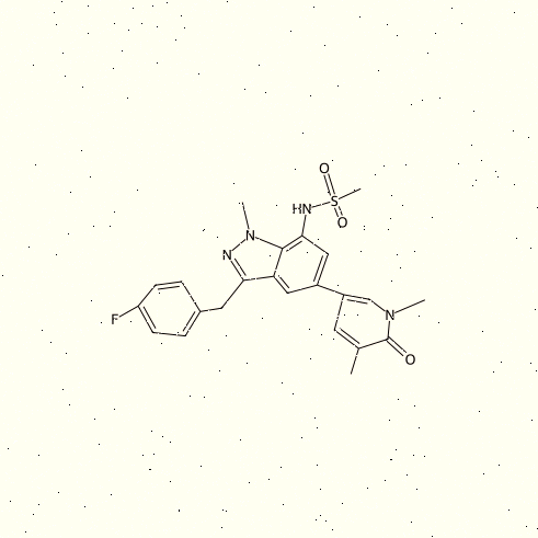 Cc1cc(-c2cc(NS(C)(=O)=O)c3c(c2)c(Cc2ccc(F)cc2)nn3C)cn(C)c1=O